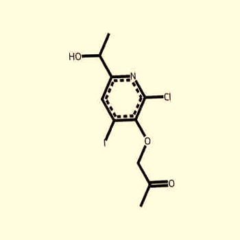 CC(=O)COc1c(I)cc(C(C)O)nc1Cl